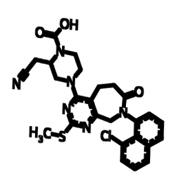 CSc1nc2c(c(N3CCN(C(=O)O)C(CC#N)C3)n1)CCC(=O)N(c1cccc3cccc(Cl)c13)C2